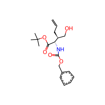 C=CC[C@@H](CO)[C@H](NC(=O)OCc1ccccc1)C(=O)OC(C)(C)C